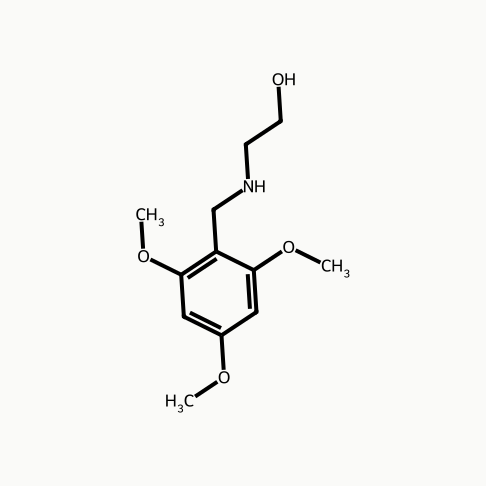 COc1cc(OC)c(CNCCO)c(OC)c1